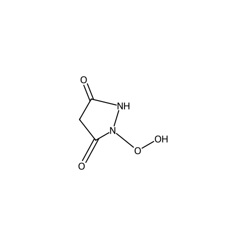 O=C1CC(=O)N(OO)N1